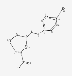 C=C(C)C1COCC(COc2ccc(Br)cc2)O1